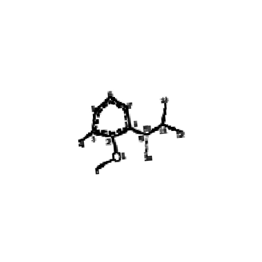 COc1c(C)cccc1[C@@H](C)C(C)C